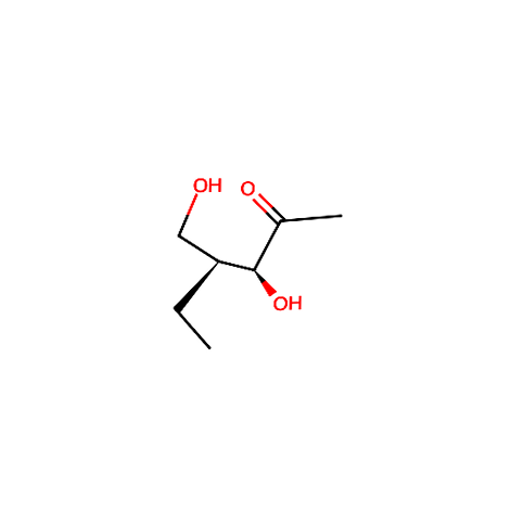 CC[C@@H](CO)[C@H](O)C(C)=O